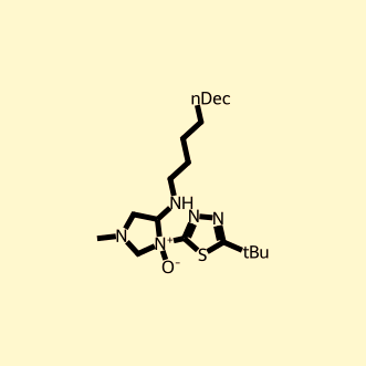 CCCCCCCCCCCCCCNC1CN(C)C[N+]1([O-])c1nnc(C(C)(C)C)s1